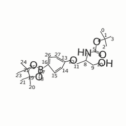 CC(C)(C)OC(=O)NC(CO)COc1ccc(B2OC(C)(C)C(C)(C)O2)cc1